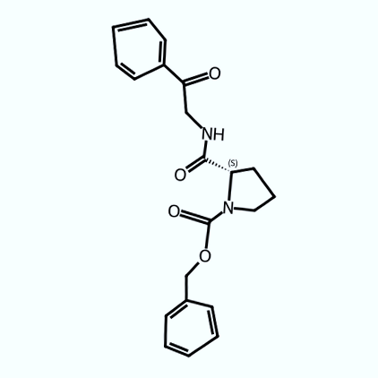 O=C(CNC(=O)[C@@H]1CCCN1C(=O)OCc1ccccc1)c1ccccc1